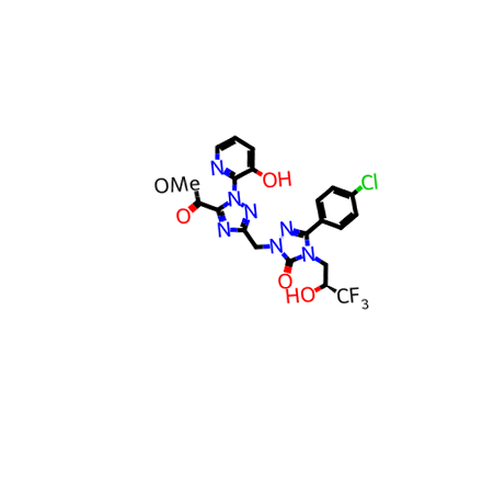 COC(=O)c1nc(Cn2nc(-c3ccc(Cl)cc3)n(C[C@H](O)C(F)(F)F)c2=O)nn1-c1ncccc1O